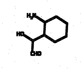 NC1CCCCC1C(O)C=O